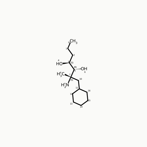 CCC[C@H](O)[C@H](O)[C@@](C)(N)CC1CCCCC1